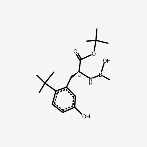 CB(O)N[C@@H](Cc1cc(O)ccc1C(C)(C)C)C(=O)OC(C)(C)C